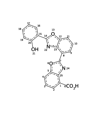 O=C(O)c1cccc2oc(-c3cccc4oc(-c5ccccc5O)nc34)nc12